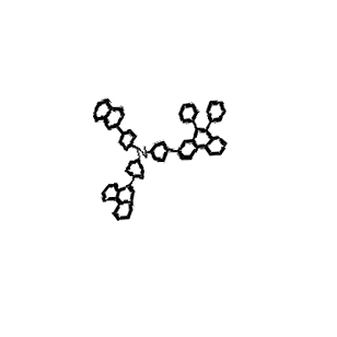 c1ccc(-c2c(-c3ccccc3)c3cc(-c4ccc(N(c5ccc(-c6ccc7ccccc7c6)cc5)c5ccc(-c6cc7ccccc7c7ccccc67)cc5)cc4)ccc3c3ccccc23)cc1